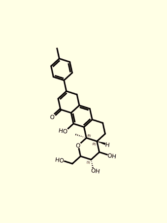 Cc1ccc(C2=CC(=O)c3c(cc4c(c3O)[C@]3(C)OC(CO)[C@@H](O)C(O)[C@H]3CC4)C2)cc1